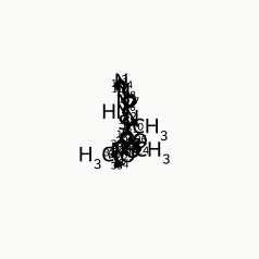 Cc1nc(Nc2cccc(-n3ccnc3)n2)sc1-c1cc2c(c(S(C)(=O)=O)c1)C(=O)N([C@@H](C)C1CC1)C2